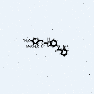 COc1c(C)cnc(C[S+]([O-])c2nc3cc(OC(=O)c4ccccc4[N+](=O)[O-])ccc3[nH]2)c1C